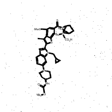 COc1cc(C(=O)N2CC3CCC2[C@@H]3N(C(=O)O)C(C)(C)C)cc2sc(-c3cc4ccc(N5CCC(NC(=O)OC(C)(C)C)CC5)cc4n3CC3CC3)c(C)c12